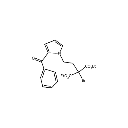 CCOC(=O)C(Br)(CCn1cccc1C(=O)c1ccccc1)C(=O)OCC